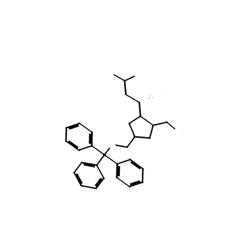 CCC(CC)C[C@H](NC(C)=O)C1CC(COC(c2ccccc2)(c2ccccc2)c2ccccc2)CC1CO